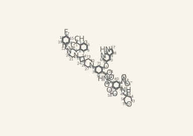 CC(C)c1ccccc1C1CN(Cc2ccc(F)cc2)CCN1C1CC2(CCN(c3ccc(C(=O)NS(=O)(=O)c4cc([N+](=O)[O-])c(NCC5(F)CCOCC5)c5c4OCO5)c(Oc4cnc5[nH]ccc5c4)c3)CC2)C1